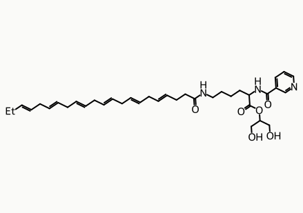 CCC=CCC=CCC=CCC=CCC=CCC=CCCC(=O)NCCCCC(NC(=O)c1cccnc1)C(=O)OC(CO)CO